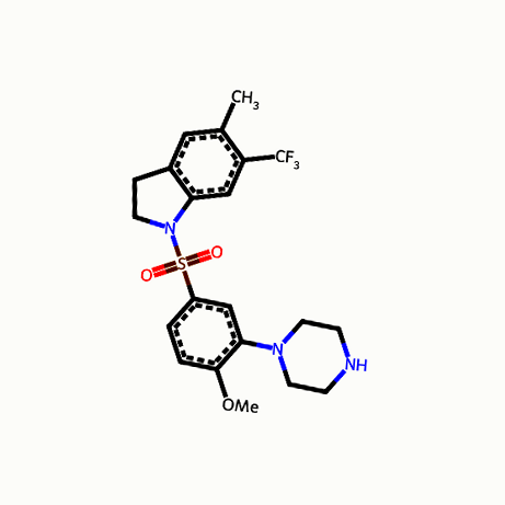 COc1ccc(S(=O)(=O)N2CCc3cc(C)c(C(F)(F)F)cc32)cc1N1CCNCC1